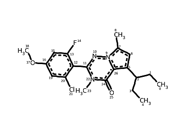 CCC(CC)c1cc(C)n2nc(-c3c(F)cc(OC)cc3Cl)n(C)c(=O)c12